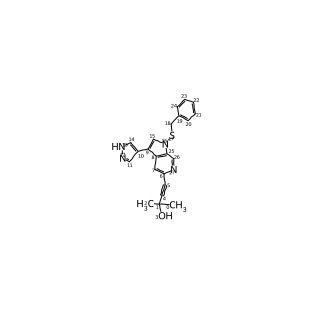 CC(C)(O)C#Cc1cc2c(-c3cn[nH]c3)cn(SCc3ccccc3)c2cn1